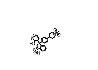 COc1nnccc1[C@](C/C=N/O)(c1ccc(C2CCN(S(C)(=O)=O)CC2)cc1)c1ccccc1C